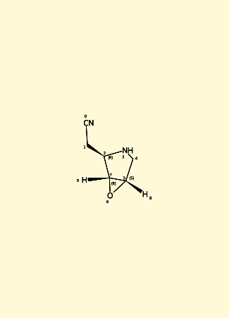 N#CC[C@H]1NC[C@@H]2O[C@@H]21